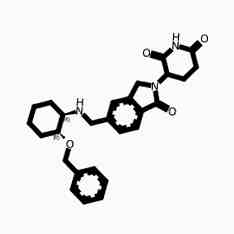 O=C1CCC(N2Cc3cc(CN[C@@H]4CCCC[C@H]4OCc4ccccc4)ccc3C2=O)C(=O)N1